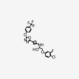 OC(COc1ccc(Cl)c(F)c1)NC12CC(c3nnc(Oc4ccc(C(F)(F)F)cc4)o3)(C1)C2